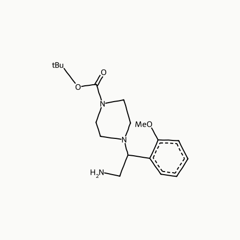 COc1ccccc1C(CN)N1CCN(C(=O)OC(C)(C)C)CC1